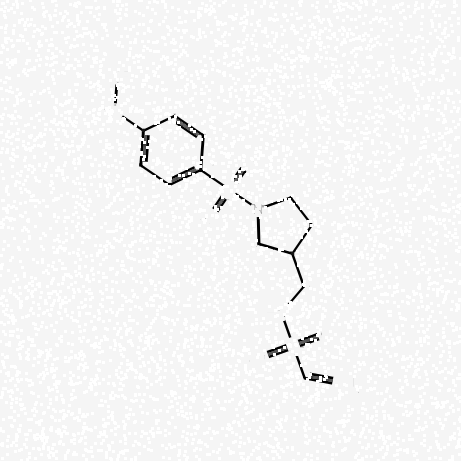 C=CS(=O)(=O)NCC1CCN(S(=O)(=O)c2ccc(OC(F)(F)F)cc2)C1